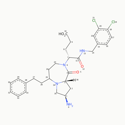 N[C@@H]1C[C@H]2C(=O)N([C@H](CCC(=O)O)C(=O)NCc3ccc(Cl)c(Cl)c3)CCC(CCc3ccccc3)N2C1